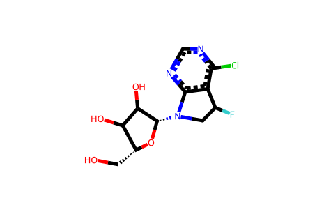 OC[C@H]1O[C@@H](N2CC(F)c3c(Cl)ncnc32)C(O)C1O